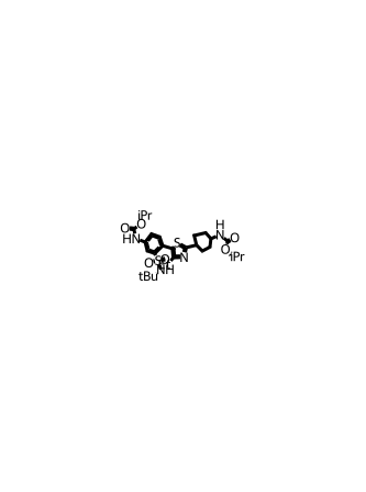 CCc1nc(C2CCC(NC(=O)OC(C)C)CC2)sc1-c1ccc(NC(=O)OC(C)C)cc1S(=O)(=O)NC(C)(C)C